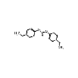 CCC1CC=C(OBOC2=CCC(CC)CC2)CC1